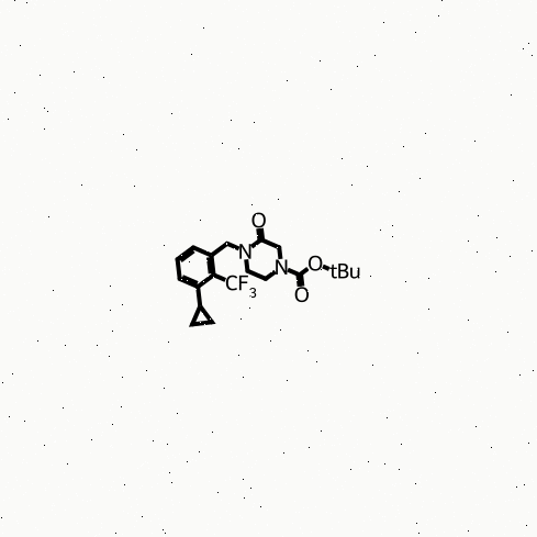 CC(C)(C)OC(=O)N1CCN(Cc2cccc(C3CC3)c2C(F)(F)F)C(=O)C1